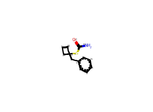 NC(=O)SC1(Cc2ccccc2)CCC1